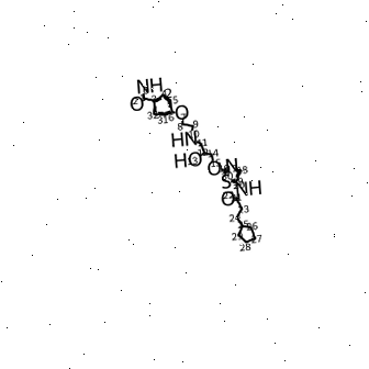 NC(=O)c1ccc(OCCNCC(O)COc2ncc(NC(=O)CCC3CCCC3)s2)cc1